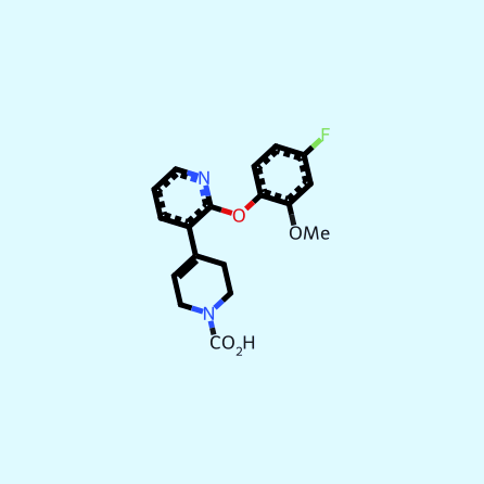 COc1cc(F)ccc1Oc1ncccc1C1=CCN(C(=O)O)CC1